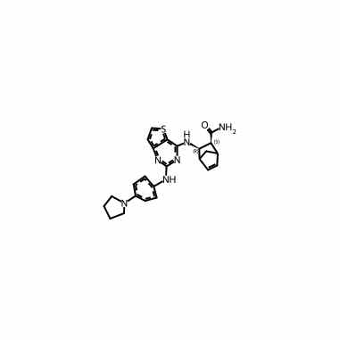 NC(=O)[C@H]1C2C=CC(C2)[C@H]1Nc1nc(Nc2ccc(N3CCCC3)cc2)nc2ccsc12